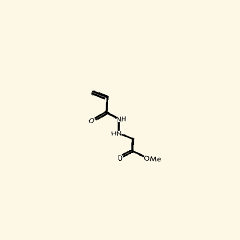 C=CC(=O)NNCC(=O)OC